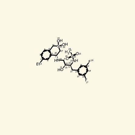 CCc1ccc2c(c1)[C@@H](NC[C@H](O)[C@H](Cc1cc(F)cc(F)c1)NS(C)(=O)=O)CS(O)(O)C2